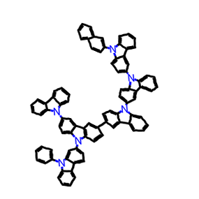 c1ccc(-n2c3ccccc3c3ccc(-n4c5ccc(-c6ccc7c(c6)c6ccccc6n7-c6ccc7c(c6)c6ccccc6n7-c6ccc7c(c6)c6ccccc6n7-c6ccc7ccccc7c6)cc5c5cc(-n6c7ccccc7c7ccccc76)ccc54)cc32)cc1